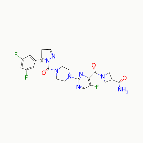 NC(=O)C1CN(C(=O)c2nc(N3CCN(C(=O)N4N=CC[C@H]4c4cc(F)cc(F)c4)CC3)ncc2F)C1